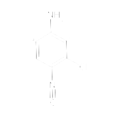 [C-]#[N+]c1ccc(N)cc1Cl